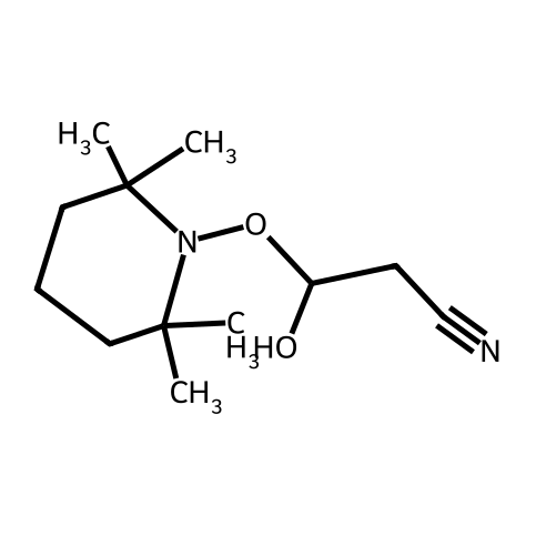 CC1(C)CCCC(C)(C)N1OC(O)CC#N